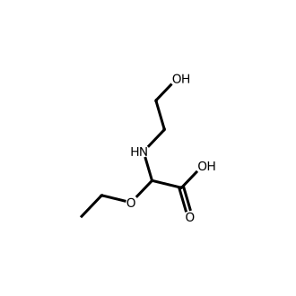 CCOC(NCCO)C(=O)O